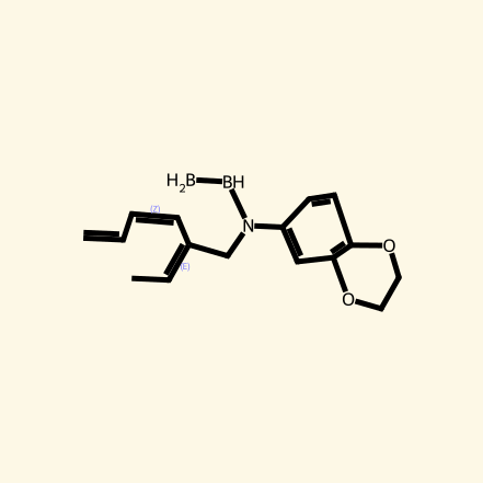 BBN(CC(/C=C\C=C)=C/C)c1ccc2c(c1)OCCO2